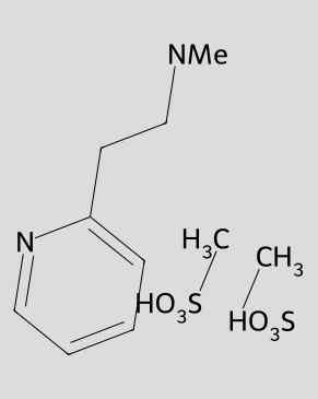 CNCCc1ccccn1.CS(=O)(=O)O.CS(=O)(=O)O